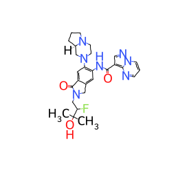 CC(C)(O)C(F)CN1Cc2cc(NC(=O)c3cnn4cccnc34)c(N3CCN4CCC[C@@H]4C3)cc2C1=O